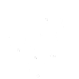 Oc1cc2cccnc2cc1C(c1ccccn1)N1CCOCC1